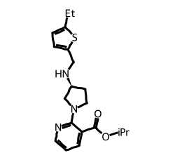 CCc1ccc(CN[C@H]2CCN(c3ncccc3C(=O)OC(C)C)C2)s1